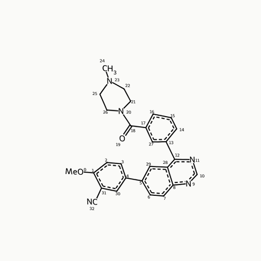 COc1ccc(-c2ccc3ncnc(-c4cccc(C(=O)N5CCN(C)CC5)c4)c3c2)cc1C#N